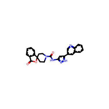 O=C1OC2(CCN(C(=O)Nc3cc(-c4cnc5ccccc5c4)[nH]n3)CC2)c2ccccc21